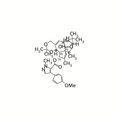 COc1ccc(-c2cnn(C)c2C(=O)O[C@H]2C(C)=C[C@]34C(=O)[C@@H](C=C5COC(C)(C)O[C@H]5[C@]23O)[C@H]2[C@@H](C[C@H]4C)C2(C)C)cc1